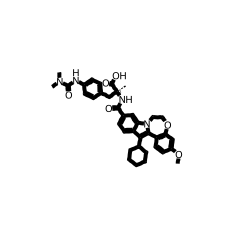 COc1ccc2c(c1)OCCn1c-2c(C2CCCCC2)c2ccc(C(=O)N[C@@](C)(Cc3ccc(NC(=O)N(C)C)cc3)C(=O)O)cc21